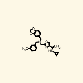 C=C(NC1CC1)c1csc(CN(Cc2cccc(C(F)(F)F)c2)Cc2ccc3c(c2)OCO3)n1